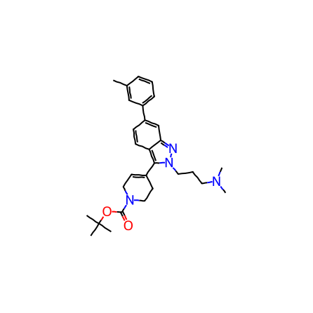 Cc1cccc(-c2ccc3c(C4=CCN(C(=O)OC(C)(C)C)CC4)n(CCCN(C)C)nc3c2)c1